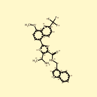 COc1ccc(-c2nc(C(=O)NCc3csc4ccccc34)c(C(C)N)o2)c2ccc(C(F)(F)F)nc12